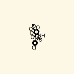 COC(=O)C1C(=O)Cc2[nH]c(=O)n(-c3ccc(Cl)cc3)c(=O)c2C1=O